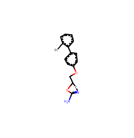 CCc1ccccc1-c1ccc(OCC2CN=C(N)O2)cc1